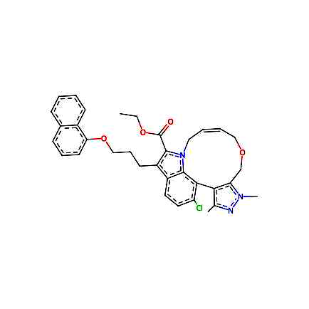 CCOC(=O)c1c(CCCOc2cccc3ccccc23)c2ccc(Cl)c3c2n1C/C=C\COCc1c-3c(C)nn1C